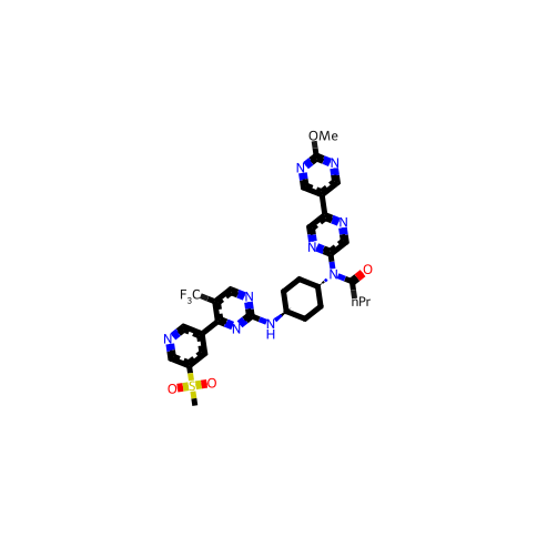 CCCC(=O)N(c1cnc(-c2cnc(OC)nc2)cn1)[C@H]1CC[C@H](Nc2ncc(C(F)(F)F)c(-c3cncc(S(C)(=O)=O)c3)n2)CC1